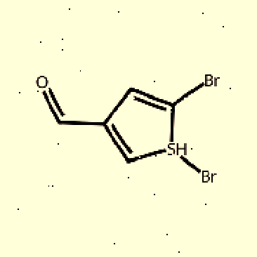 O=CC1=C[SH](Br)C(Br)=C1